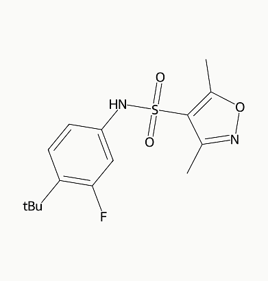 Cc1noc(C)c1S(=O)(=O)Nc1ccc(C(C)(C)C)c(F)c1